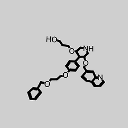 OCCCOC1CNCC(OCc2ccc3cccnc3c2)C1c1ccc(OCCCOCc2ccccc2)cc1